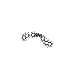 B(Oc1ccc(-c2ccc3ccccc3c2)cc1)Oc1ccc(-c2ccc3ccccc3c2)cc1